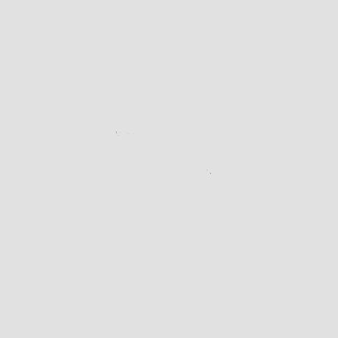 COC(=O)c1cc(Cl)nc(I)c1